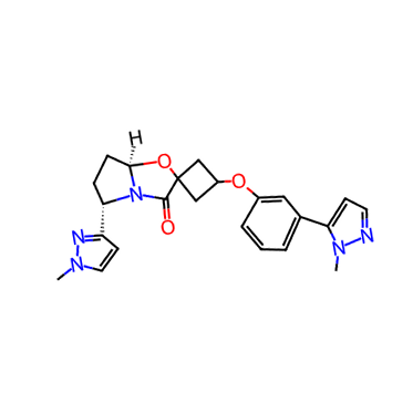 Cn1ccc([C@@H]2CC[C@H]3OC4(CC(Oc5cccc(-c6ccnn6C)c5)C4)C(=O)N32)n1